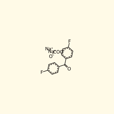 O=C([O-])[O-].O=C(c1ccc(F)cc1)c1ccc(F)cc1.[Na+].[Na+]